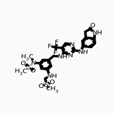 CN(c1cc(CNc2nc(Nc3ccc4c(c3)CC(=O)N4)ncc2C(F)(F)F)cc(NCS(C)(=O)=O)c1)S(C)(=O)=O